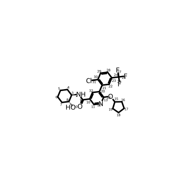 O=C(N[C@@H]1CCCC[C@H]1O)c1cnc(OC2CCCC2)c(-c2cc(C(F)(F)F)ccc2Cl)c1